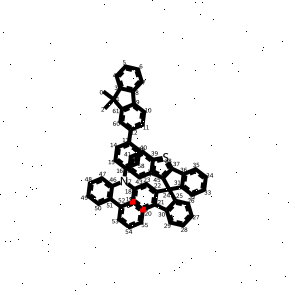 CC1(C)c2ccccc2-c2ccc(-c3ccc(N(c4ccc5c(c4)C4(c6ccccc6-5)c5ccccc5-c5sc6ccccc6c54)c4ccccc4-c4ccccc4)cc3)cc21